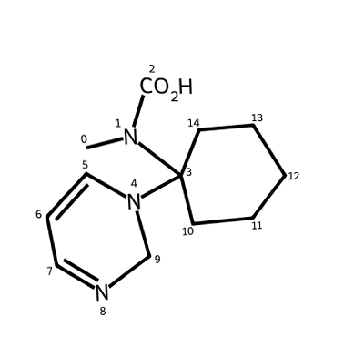 CN(C(=O)O)C1(N2C=CC=NC2)CCCCC1